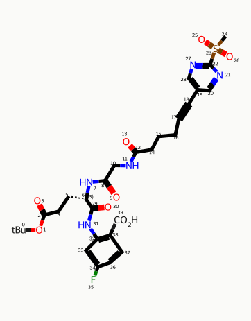 CC(C)(C)OC(=O)CC[C@H](NC(=O)CNC(=O)CCCC#Cc1cnc(S(C)(=O)=O)nc1)C(=O)Nc1cc(F)ccc1C(=O)O